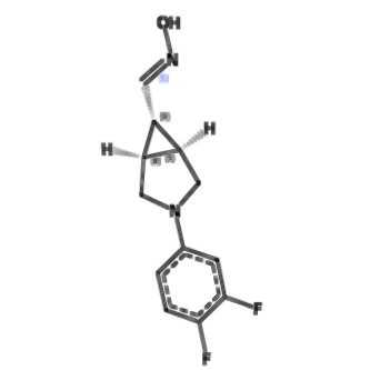 O/N=C/[C@@H]1[C@H]2CN(c3ccc(F)c(F)c3)C[C@@H]12